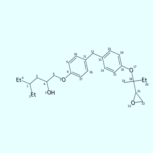 CCC(CC)CC(O)COc1ccc(Cc2ccc(OC(C)(CC)C3CO3)cc2)cc1